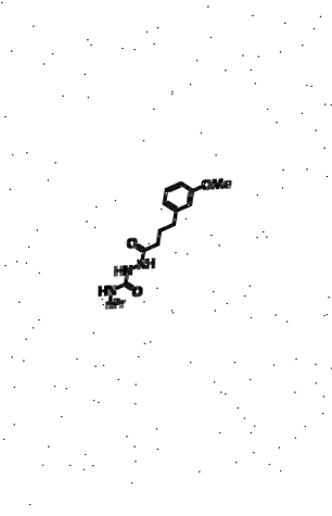 CCCNC(=O)NNC(=O)CCCc1cccc(OC)c1